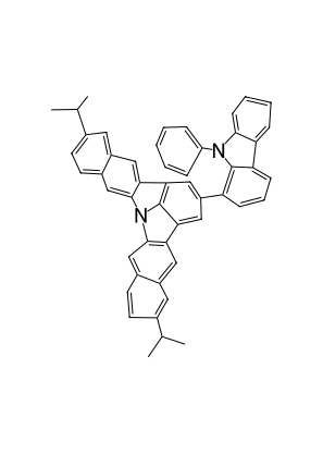 CC(C)c1ccc2cc3c(cc2c1)c1cc(-c2cccc4c5ccccc5n(-c5ccccc5)c24)cc2c4cc5cc(C(C)C)ccc5cc4n3c12